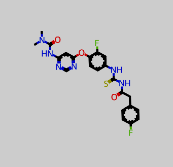 CN(C)C(=O)Nc1cc(Oc2ccc(NC(=S)NC(=O)Cc3ccc(F)cc3)cc2F)ncn1